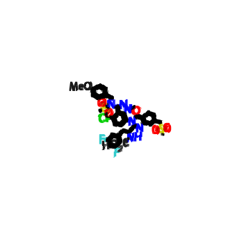 COc1ccc(CN(c2nn(C)c3c(-n4c(C(Cc5cc(F)cc(F)c5)NC(=O)O)nc5cc(CS(C)(=O)=O)ccc5c4=O)ccc(Cl)c23)S(C)(=O)=O)cc1